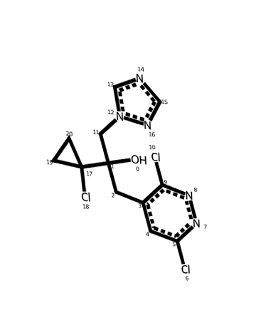 OC(Cc1cc(Cl)nnc1Cl)(Cn1cncn1)C1(Cl)CC1